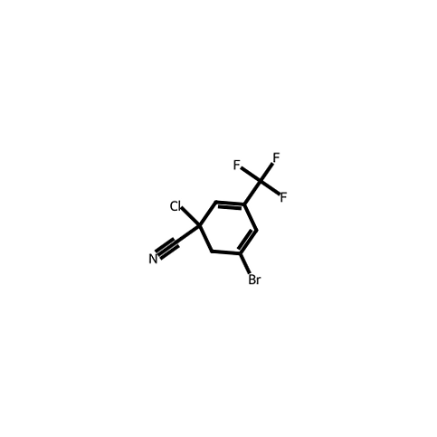 N#CC1(Cl)C=C(C(F)(F)F)C=C(Br)C1